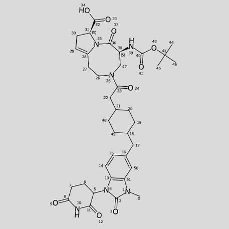 Cn1c(=O)n(C2CCC(=O)NC2=O)c2ccc(CC3CCC(CC(=O)N4CCC5=CC[C@@H](C(=O)O)N5C(=O)[C@@H](NC(=O)OC(C)(C)C)C4)CC3)cc21